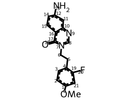 COc1ccc(CCn2cnc3cc(N)ccc3c2=O)c(F)c1